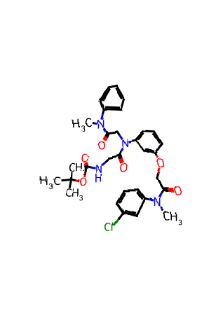 CN(C(=O)COc1cccc(N(CC(=O)N(C)c2ccccc2)C(=O)CNC(=O)OC(C)(C)C)c1)c1cccc(Cl)c1